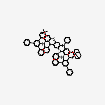 CC(C)(C)c1cc2c3c(c1)N(c1c(-c4ccccc4)cc(-c4ccccc4)cc1-c1ccccc1)c1ccccc1B3c1cc3c(cc1S2)N(c1ccccc1)c1cc(N2C4CC5CC(C4)CC2C5)cc2c1B3c1ccccc1N2c1c(-c2ccccc2)cc(-c2ccccc2)cc1-c1ccccc1